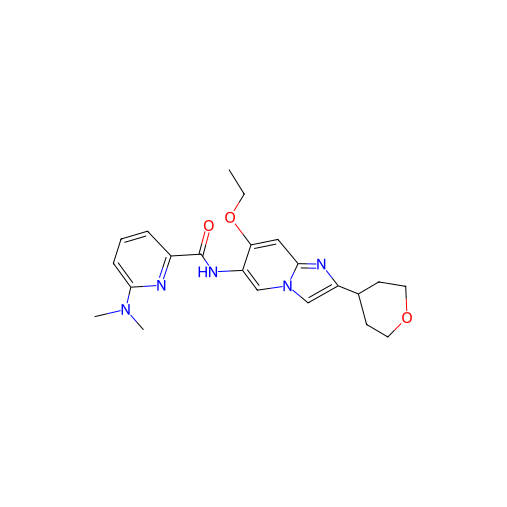 CCOc1cc2nc(C3CCOCC3)cn2cc1NC(=O)c1cccc(N(C)C)n1